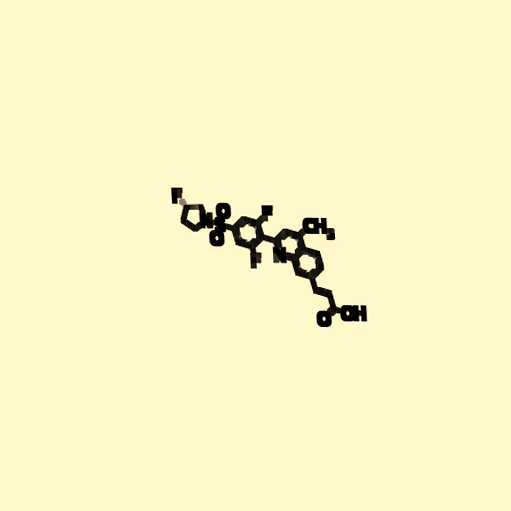 Cc1cc(-c2c(F)cc(S(=O)(=O)N3CC[C@H](F)C3)cc2F)nc2cc(/C=C/C(=O)O)ccc12